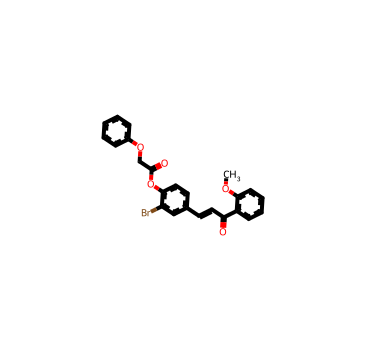 COc1ccccc1C(=O)/C=C/c1ccc(OC(=O)COc2ccccc2)c(Br)c1